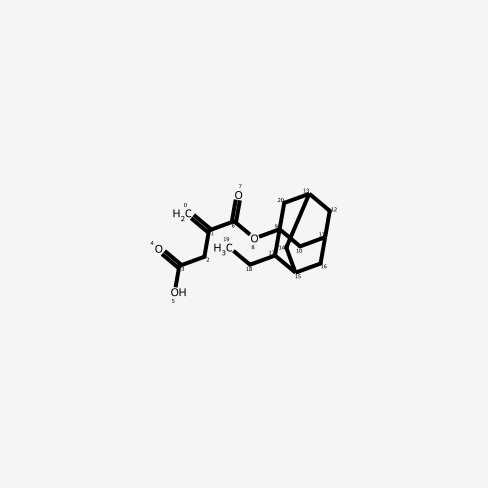 C=C(CC(=O)O)C(=O)OC12CC3CC(CC(C3)C1CC)C2